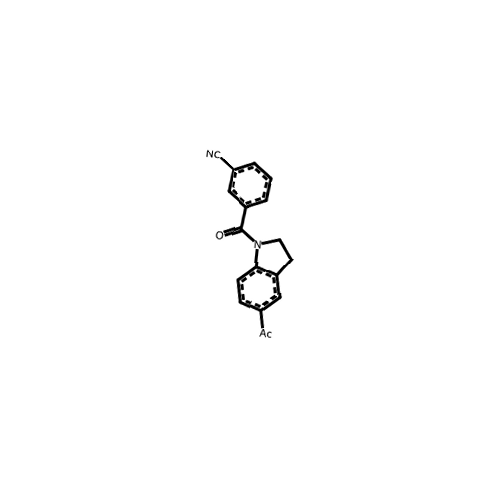 CC(=O)c1ccc2c(c1)CCN2C(=O)c1cccc(C#N)c1